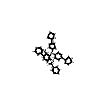 c1ccc(-c2ccc(N(c3ccc(-c4ccccc4)cc3)c3c4nc(-c5ccccc5)oc4cc4c3oc3ccccc34)cc2)cc1